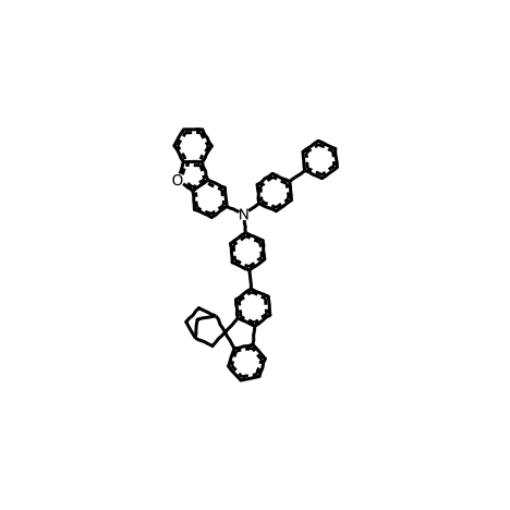 c1ccc(-c2ccc(N(c3ccc(-c4ccc5c(c4)C4(CC6CCC4C6)c4ccccc4-5)cc3)c3ccc4oc5ccccc5c4c3)cc2)cc1